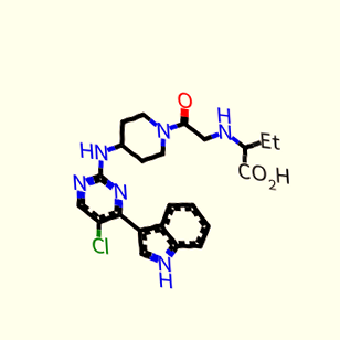 CCC(NCC(=O)N1CCC(Nc2ncc(Cl)c(-c3c[nH]c4ccccc34)n2)CC1)C(=O)O